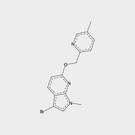 Cc1ccc(COc2ccc3c(Br)cn(C)c3n2)nc1